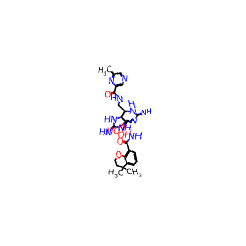 Cc1cncc(C(=O)NCC2NC(=N)N3C[C@H](NC(=O)c4cccc5c4OCCC5(C)C)C(O)(O)C34NC(=N)NC24)n1